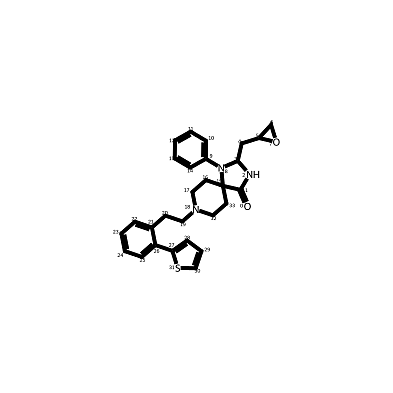 O=C1NC(CC2CO2)N(c2ccccc2)C12CCN(CCc1ccccc1-c1cccs1)CC2